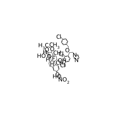 CC1(C)O[C@H]2C[C@H]3[C@@H]4CCC5=CC(=O)C=C[C@]5(C)C4(F)[C@@H](O)C[C@]3(C)[C@]2(C(=O)CO)O1.Clc1ccc(COC(Cn2ccnc2)c2ccc(Cl)cc2Cl)cc1.O=[N+]([O-])O